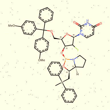 COc1ccc(C(OC[C@H]2O[C@@H](n3ccc(=O)[nH]c3=O)C(F)[C@H]2O[P@]2O[C@H](C[Si](C)(c3ccccc3)c3ccccc3)[C@@H]3CCCN32)(c2ccccc2)c2ccc(OC)cc2)cc1